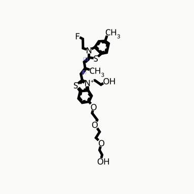 CC(/C=C1\Sc2ccc(C)cc2N1CCF)=C\c1sc2ccc(OCCOCCOCCO)cc2[n+]1CCO